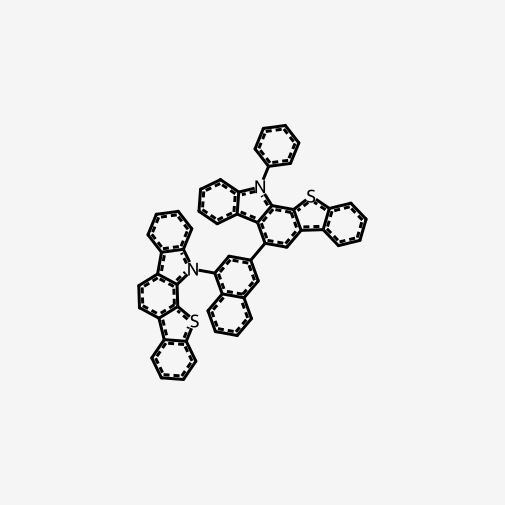 c1ccc(-n2c3ccccc3c3c(-c4cc(-n5c6ccccc6c6ccc7c8ccccc8sc7c65)c5ccccc5c4)cc4c5ccccc5sc4c32)cc1